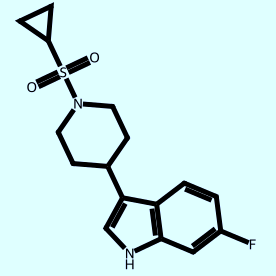 O=S(=O)(C1CC1)N1CCC(c2c[nH]c3cc(F)ccc23)CC1